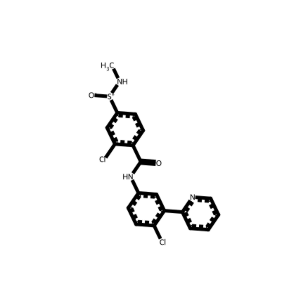 CN[S+]([O-])c1ccc(C(=O)Nc2ccc(Cl)c(-c3ccccn3)c2)c(Cl)c1